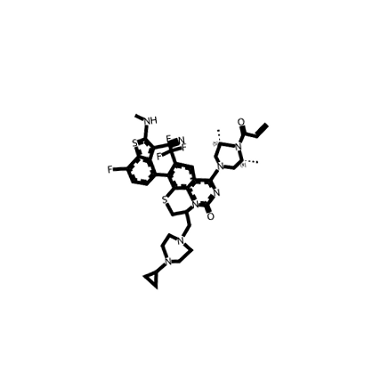 C=CC(=O)N1[C@H](C)CN(c2nc(=O)n3c4c(c(-c5ccc(F)c6sc(NC)c(C#N)c56)c(C(F)(F)F)cc24)SCC3CN2CCN(C3CC3)CC2)C[C@@H]1C